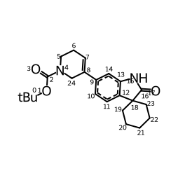 CC(C)(C)OC(=O)N1CCC=C(c2ccc3c(c2)NC(=O)C32CCCCC2)C1